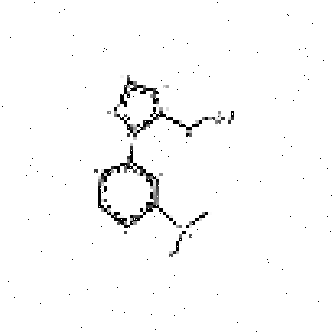 CN(C)c1cccc(-c2ocnc2CC(=O)O)c1